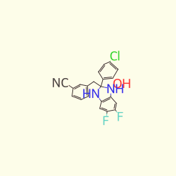 N#Cc1cccc(CC2(c3ccc(Cl)cc3O)Nc3cc(F)c(F)cc3N2)c1